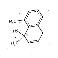 Cc1cccc2c1[C@](C)(S)C=CC2